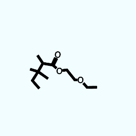 CCOCCOC(=O)C(C)C(C)(C)CC